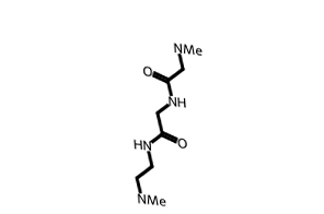 CNCCNC(=O)CNC(=O)CNC